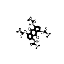 CN(C)C(=S)Nc1ccc(OC(=S)N(C)C)c2c1C(=O)c1c(OC(=S)N(C)C)ccc(NC(=S)N(C)C)c1C2=O